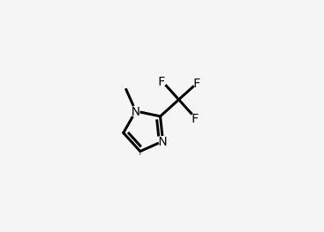 Cn1c[c]nc1C(F)(F)F